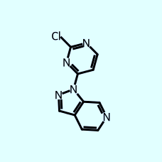 Clc1nccc(-n2ncc3ccncc32)n1